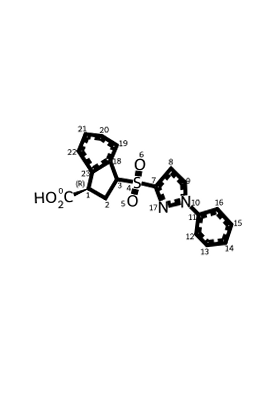 O=C(O)[C@@H]1CC(S(=O)(=O)c2ccn(-c3ccccc3)n2)c2ccccc21